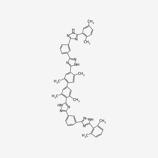 Cc1ccc(C)c(-c2nc(-c3cccc(-c4n[nH]c(-c5cc(C)c(-c6cc(C)c(-c7nc(-c8cccc(-c9n[nH]c(-c%10c(C)cccc%10C)n9)c8)n[nH]7)c(C)c6)cc5C)n4)c3)n[nH]2)c1